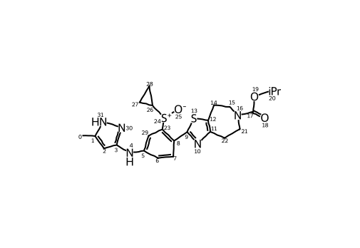 Cc1cc(Nc2ccc(-c3nc4c(s3)CCN(C(=O)OC(C)C)CC4)c([S+]([O-])C3CC3)c2)n[nH]1